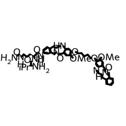 COc1cc2c(cc1OCCCCCOc1cc3c(cc1OC)C(=O)N1Cc4cc(NC(=O)[C@H](CCCNC(N)=O)NC(=O)C(N)C(C)C)ccc4C[C@H]1C=N3)N=C[C@@H]1Cc3ccccc3CN1C2=O